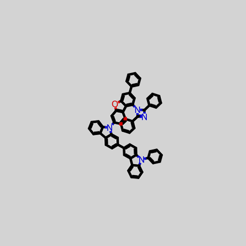 c1ccc(C2=NC(c3ccccc3)N2c2cc(-c3ccccc3)cc3oc4cc(-n5c6ccccc6c6ccc(-c7ccc8c(c7)c7ccccc7n8-c7ccccc7)cc65)ccc4c23)cc1